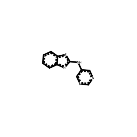 c1ccc2sc(Nc3cncnc3)nc2c1